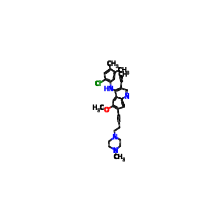 C#Cc1cnc2cc(C#CCCN3CCN(C)CC3)c(OC)cc2c1Nc1cc(C)c(C)cc1Cl